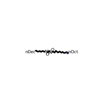 CCCCCCCC/C=C/CCCCCCCC(=O)NCC(=O)NCCCCCCCCCCCCCCCC